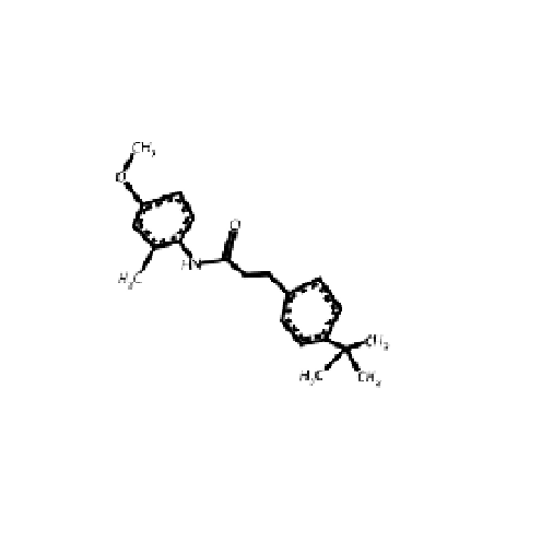 COc1ccc(NC(=O)CCc2ccc(C(C)(C)C)cc2)c(C)c1